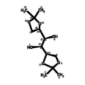 CC1(C)OC[C@H]([C@@H](O)[C@H](O)[C@H]2COC(C)(C)O2)O1